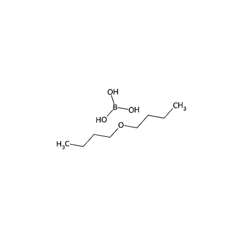 CCCCOCCCC.OB(O)O